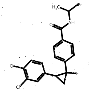 CC(C)C(C)NC(=O)c1ccc(C2(F)CC2c2ccc(Cl)c(Cl)c2)cc1